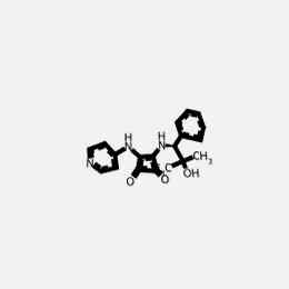 CC(C)(O)[C@@H](Nc1c(Nc2ccncc2)c(=O)c1=O)c1ccccc1